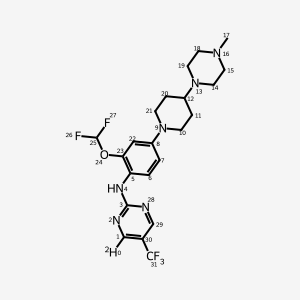 [2H]c1nc(Nc2ccc(N3CCC(N4CCN(C)CC4)CC3)cc2OC(F)F)ncc1C(F)(F)F